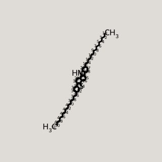 CCCCCCCCCCCCCCCCc1ccc2c(c1)[nH]c1c2ccc2c1ccc1c3ccc(CCCCCCCCCCCCCCCC)cc3sc12